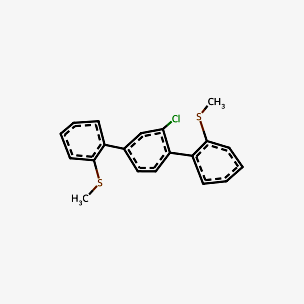 CSc1ccccc1-c1ccc(-c2ccccc2SC)c(Cl)c1